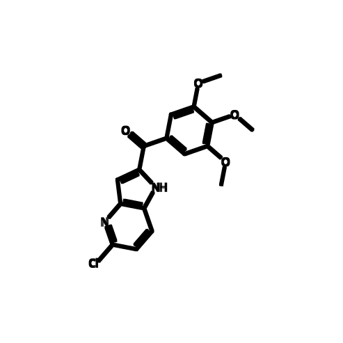 COc1cc(C(=O)c2cc3nc(Cl)ccc3[nH]2)cc(OC)c1OC